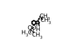 CCN(C)C(=O)Oc1cccc2c(CN(C)C)c[nH]c12